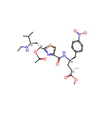 CCN[C@H](C[C@@H](OC(C)=O)c1nc(C(=O)N[C@@H](Cc2ccc([N+](=O)[O-])cc2)C[C@H](C)C(=O)OC)cs1)C(C)C